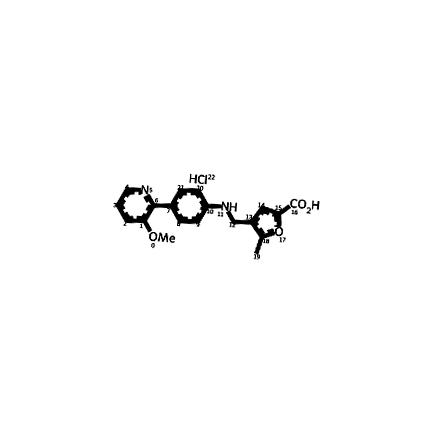 COc1cccnc1-c1ccc(NCc2cc(C(=O)O)oc2C)cc1.Cl